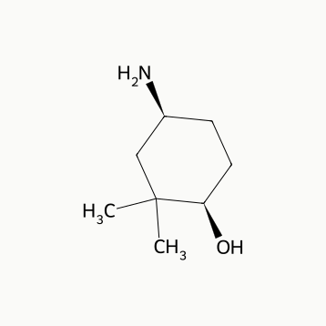 CC1(C)C[C@@H](N)CC[C@H]1O